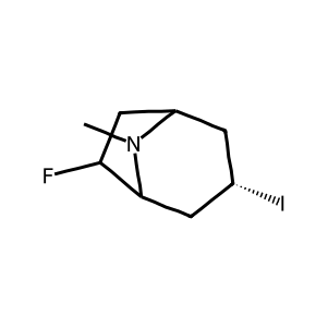 CN1C2CC(F)C1C[C@@H](I)C2